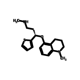 CNCC[C@H](Oc1cccc2c1CCCN2C)c1cccs1